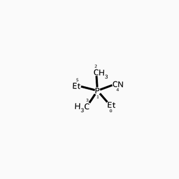 CCP(C)(C)(C#N)CC